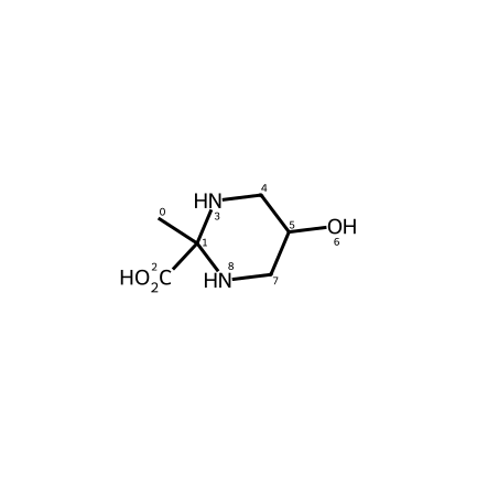 CC1(C(=O)O)NCC(O)CN1